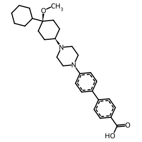 CO[C@]1(C2CCCCC2)CC[C@H](N2CCN(c3ccc(-c4ccc(C(=O)O)cc4)cc3)CC2)CC1